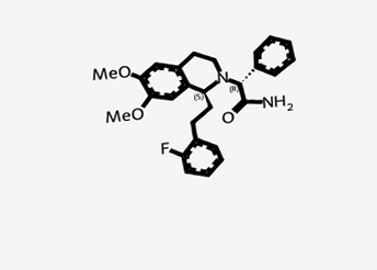 COc1cc2c(cc1OC)[C@H](CCc1ccccc1F)N([C@@H](C(N)=O)c1ccccc1)CC2